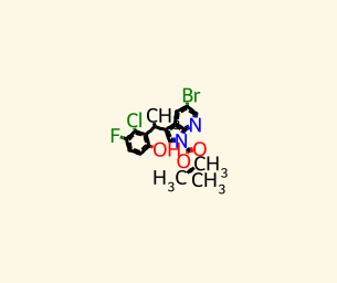 CC(c1c(O)ccc(F)c1Cl)c1cn(C(=O)OC(C)(C)C)c2ncc(Br)cc12